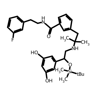 CC(C)(Cc1cccc(C(=O)NCCc2cccc(F)c2)c1)NCC(O[Si](C)(C)C(C)(C)C)c1cc(O)cc(O)c1